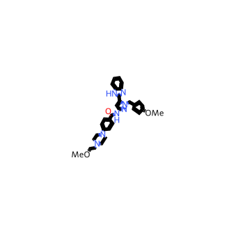 COCCN1CCN(c2ccc(C(=O)Nc3cc(-c4nc5ccccc5[nH]4)n(Cc4ccc(OC)cc4)n3)cc2)CC1